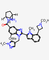 COc1cc(C(=O)N2C[C@H]3CC[C@@H]2[C@@H]3N)cc2nc(-c3cc4cccc(C5CN(C(=O)O)C5)c4n3C)n(Cc3cnn(C)c3)c12